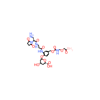 BC(=O)COCNC(=O)OCc1ccc(O[C@H]2C[C@@H](O)C[C@@H](C(=O)O)O2)c(NC(=O)CCNC(=O)[C@H](CN)N2C(=O)CCC2=O)c1